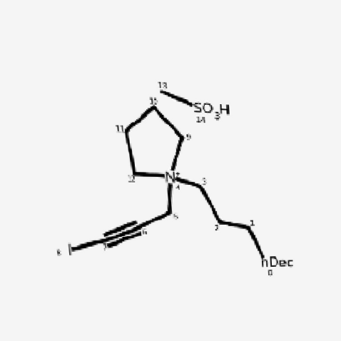 CCCCCCCCCCCCC[N+]1(CC#CI)CCCC1.CS(=O)(=O)O